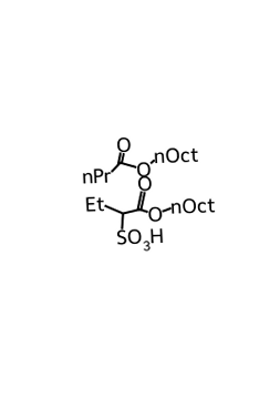 CCCCCCCCOC(=O)C(CC)S(=O)(=O)O.CCCCCCCCOC(=O)CCC